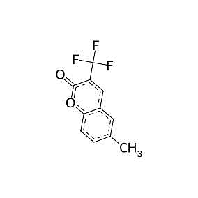 Cc1ccc2oc(=O)c(C(F)(F)F)cc2c1